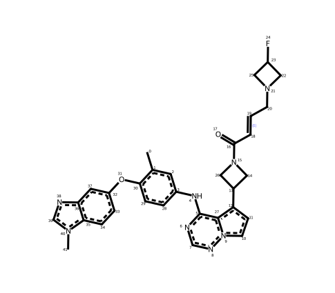 Cc1cc(Nc2ncnn3ccc(C4CN(C(=O)/C=C/CN5CC(F)C5)C4)c23)ccc1Oc1ccc2c(c1)ncn2C